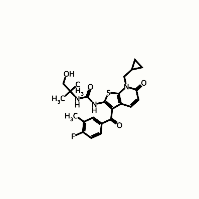 Cc1cc(C(=O)c2c(NC(=O)NC(C)(C)CO)sc3c2ccc(=O)n3CC2CC2)ccc1F